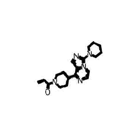 C=CC(=O)N1CCC(c2nccn3c(N4CCCCC4)ncc23)CC1